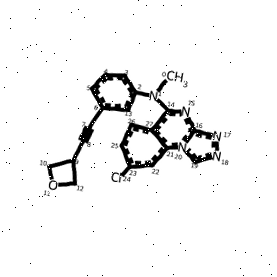 CN(c1cccc(C#CC2COC2)c1)c1nc2nncn2c2cc(Cl)ccc12